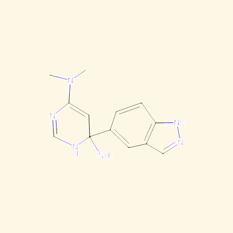 CN(C)C1=CC(N)(c2ccc3[nH]ncc3c2)NC=N1